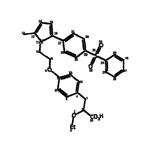 CCOC(Cc1ccc(OCCn2c(C)ccc2-c2ccc(S(=O)(=O)c3ccccc3)cc2)cc1)C(=O)O